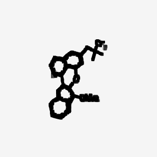 COc1c2c(cc3ccccc13)-c1nccc3cc(CC(C)(C)C(F)(F)F)cc(c13)O2